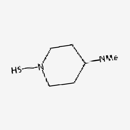 CNC1CCN(S)CC1